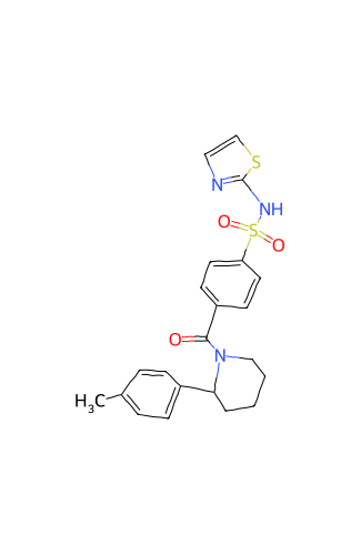 Cc1ccc(C2CCCCN2C(=O)c2ccc(S(=O)(=O)Nc3nccs3)cc2)cc1